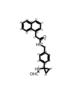 O=CNC1(c2ccc(CNC(=O)Cc3cccc4ccccc34)cc2)CC1